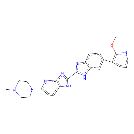 COc1ncccc1-c1ccc2nc(-c3nc4nc(N5CCN(C)CC5)ccc4[nH]3)[nH]c2c1